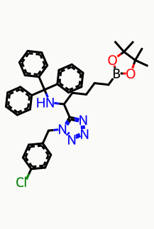 CC1(C)OB(CCCCC(NC(c2ccccc2)(c2ccccc2)c2ccccc2)c2nnnn2Cc2ccc(Cl)cc2)OC1(C)C